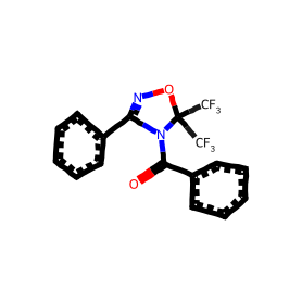 O=C(c1ccccc1)N1C(c2ccccc2)=NOC1(C(F)(F)F)C(F)(F)F